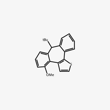 COc1cccc2c1-c1ccsc1-c1ccccc1C2C(C)(C)C